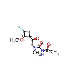 CO[C@H]1C(F)CC1C(=O)CN(C)C(=O)NC(C)=O